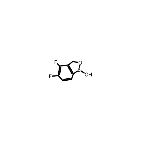 OB1OCc2c1ccc(F)c2F